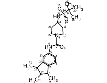 CC1c2ccc(NC(=O)N3CCC(NS(=O)(=O)C(C)(C)C)CC3)cc2C(C)C1C